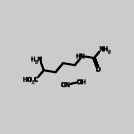 NC(=O)NCCCC(N)C(=O)O.O=NO